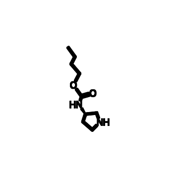 CCCCOC(=O)N[C@@H]1CCNC1